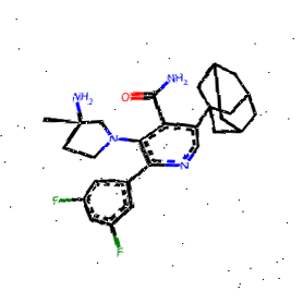 C[C@]1(N)CCN(c2c(-c3cc(F)cc(F)c3)ncc(C34CC5CC(CC(C5)C3)C4)c2C(N)=O)C1